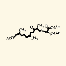 COC(=O)[C@H](CSCC(C)C(=O)CC/C(C)=C\CC/C(C)=C\COC(C)=O)NC(C)=O